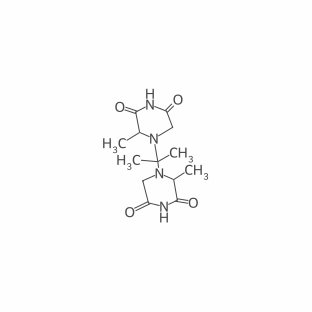 CC1C(=O)NC(=O)CN1C(C)(C)N1CC(=O)NC(=O)C1C